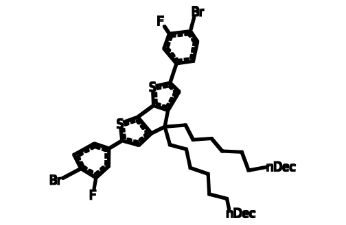 CCCCCCCCCCCCCCCCC1(CCCCCCCCCCCCCCCC)c2cc(-c3ccc(Br)c(F)c3)sc2-c2sc(-c3ccc(Br)c(F)c3)cc21